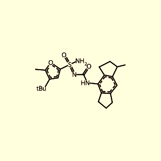 Cc1oc(S(N)(=O)=NC(=O)Nc2c3c(cc4c2CCC4C)CCC3)cc1C(C)(C)C